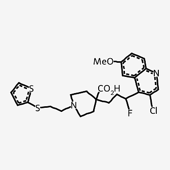 COc1ccc2ncc(Cl)c(C(F)CCC3(C(=O)O)CCN(CCSc4cccs4)CC3)c2c1